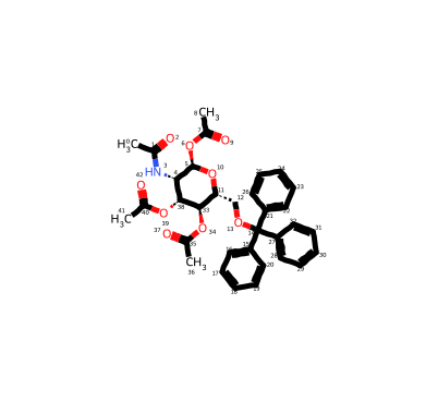 CC(=O)N[C@@H]1[C@@H](OC(C)=O)O[C@H](COC(c2ccccc2)(c2ccccc2)c2ccccc2)[C@@H](OC(C)=O)[C@@H]1OC(C)=O